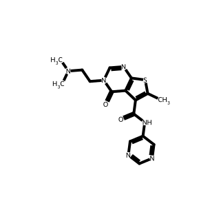 Cc1sc2ncn(CCN(C)C)c(=O)c2c1C(=O)Nc1cncnc1